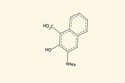 CCCCCCc1cc2ccccc2c(C(=O)O)c1O